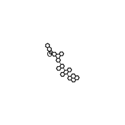 c1ccc2cc3c(cc2c1)oc1cc2c4ccc(-c5ccc(-c6c7ccccc7c(-c7ccc8ccc9cccc%10ccc7c8c9%10)c7ccccc67)c6ccccc56)cc4c4ccccc4c2cc13